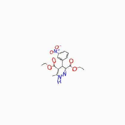 CCOC(=O)C1=NNC(C)=C(C(=O)OCC)C1c1cccc([N+](=O)[O-])c1